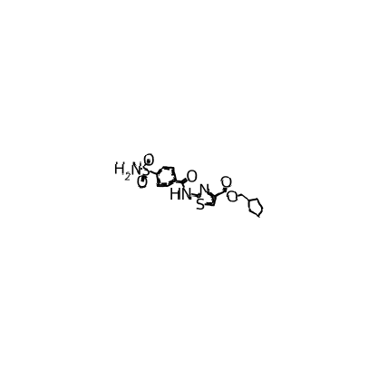 NS(=O)(=O)c1ccc(C(=O)Nc2nc(C(=O)OCC3CCCC3)cs2)cc1